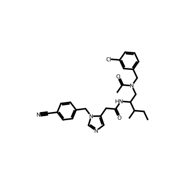 CCC(C)C(CN(Cc1cccc(Cl)c1)C(C)=O)NC(=O)Cc1cncn1Cc1ccc(C#N)cc1